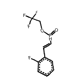 O=[PH](C=Cc1ccccc1F)OCC(F)(F)F